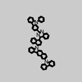 c1ccc(-n2c3ccccc3c3ccc(-c4nc(-c5ccc(-n6c7ccccc7c7cc8cc(-n9c%10ccccc%10c%10ccccc%109)ccc8cc76)c6ccccc56)c5ccccc5n4)cc32)cc1